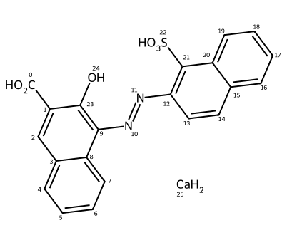 O=C(O)c1cc2ccccc2c(N=Nc2ccc3ccccc3c2S(=O)(=O)O)c1O.[CaH2]